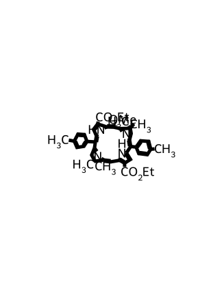 CCOC(=O)c1cc2[nH]c1cc1nc(c(-c3ccc(C)cc3)c3cc(C(=O)OCC)c([nH]3)c(OC)c3nc(c2-c2ccc(C)cc2)CC3(C)C)CC1(C)C